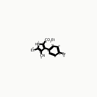 CCOC(=O)c1[nH]c(CC)c(C#N)c1-c1ccc(Br)cc1